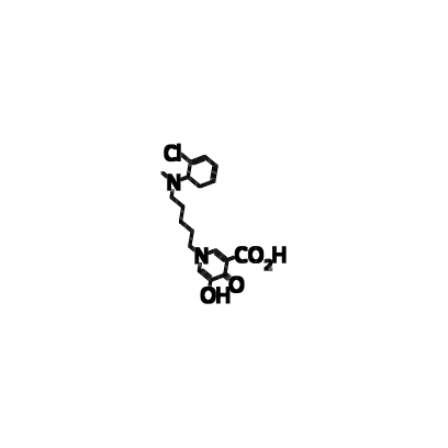 CN(CCCCCn1cc(O)c(=O)c(C(=O)O)c1)C1CC=CC=C1Cl